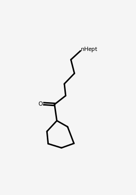 CCCCCCCCCCCC(=O)C1CCCCC1